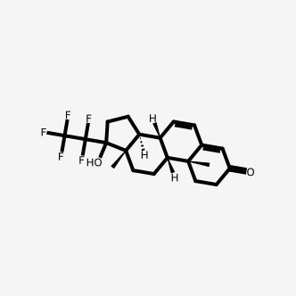 C[C@]12CCC(=O)C=C1C=C[C@@H]1[C@H]2CC[C@@]2(C)[C@H]1CCC2(O)C(F)(F)C(F)(F)F